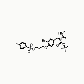 C=C(NC)N(Cc1ccc(OCCCOS(=O)(=O)c2ccc(C)cc2)c(Br)c1)C(=O)OC(C)(C)C